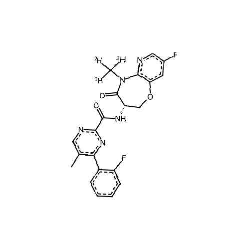 [2H]C([2H])([2H])N1C(=O)[C@@H](NC(=O)c2ncc(C)c(-c3ccccc3F)n2)COc2cc(F)cnc21